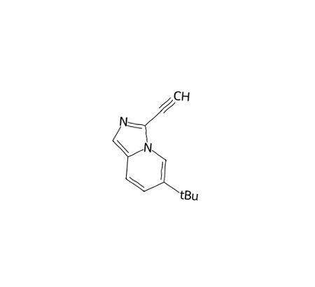 C#Cc1ncc2ccc(C(C)(C)C)cn12